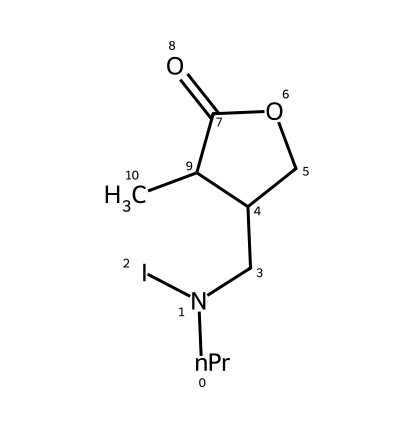 CCCN(I)CC1COC(=O)C1C